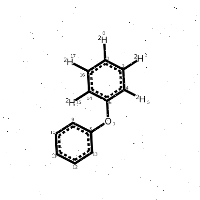 [2H]c1c([2H])c([2H])c(Oc2cc[c]cc2)c([2H])c1[2H]